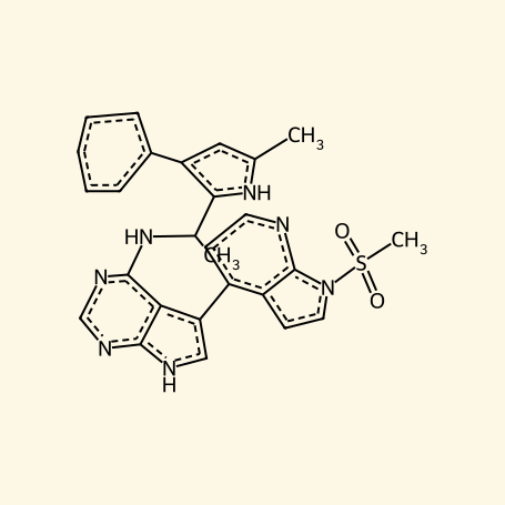 Cc1cc(-c2ccccc2)c(C(C)Nc2ncnc3[nH]cc(-c4ccnc5c4ccn5S(C)(=O)=O)c23)[nH]1